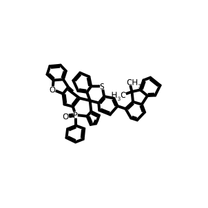 CC1(C)c2ccccc2-c2cccc(-c3ccc4c(c3)Sc3ccccc3C43c4ccccc4P(=O)(c4ccccc4)c4cc5oc6ccccc6c5cc43)c21